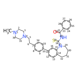 CN1CCN(CCc2ccc(-c3ccc4c(c3)N(C(=S)NC(=O)c3ccccc3)CCCC4)cc2)CC1